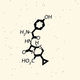 N[C@@H](C(=O)N[C@@H]1C(=O)N2C(C(=O)O)=C(C3CC3)CS[C@H]12)c1ccc(O)cc1